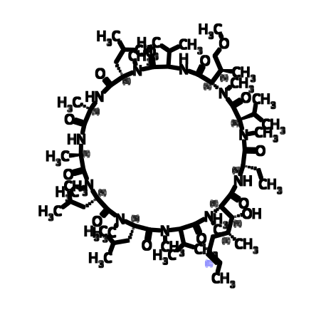 C/C=C/C[C@@H](C)[C@@H](O)[C@H]1C(=O)N[C@@H](CC)C(=O)N(C)[C@H](C(C)C)C(=O)N(C)[C@@H]([C@H](C)COC)C(=O)NC(C(C)C)C(=O)N(C)[C@@H](CC(C)C)C(=O)N[C@@H](C)C(=O)N[C@H](C)C(=O)N(C)[C@@H](CC(C)C)C(=O)N(C)[C@@H](CC(C)C)C(=O)N(C)C(C(C)C)C(=O)N1C